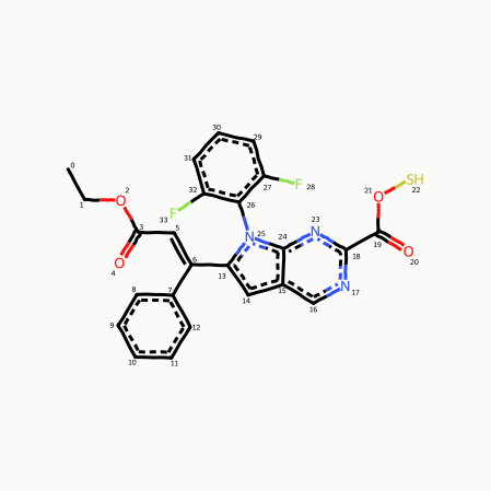 CCOC(=O)/C=C(\c1ccccc1)c1cc2cnc(C(=O)OS)nc2n1-c1c(F)cccc1F